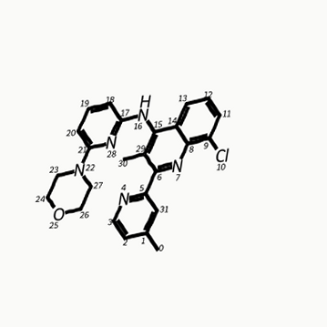 Cc1ccnc(-c2nc3c(Cl)cccc3c(Nc3cccc(N4CCOCC4)n3)c2C)c1